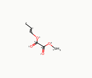 CC=COC(=O)C(=O)O[SiH3]